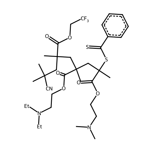 CCN(CC)CCOC(=O)C(C)(CC(C)(CC(C)(C)C#N)C(=O)OCC(F)(F)F)CC(C)(SC(=S)c1ccccc1)C(=O)OCCN(C)C